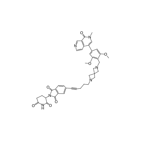 COc1cc(-c2cn(C)c(=O)c3cnccc23)cc(OC)c1CN1CC2(CN(CCCC#Cc3ccc4c(c3)C(=O)N(C3CCC(=O)NC3=O)C4=O)C2)C1